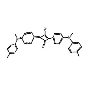 Cc1ccc(N(C)c2ccc(C3=C([O-])C(=C4C=CC(=[N+](C)c5ccc(C)cc5)C=C4)C3=O)cc2)cc1